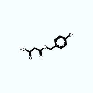 O=C(O)CC(=O)OCc1ccc(Br)cc1